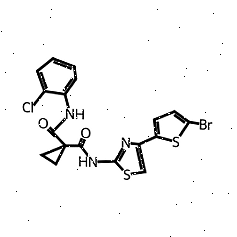 O=C(Nc1nc(-c2ccc(Br)s2)cs1)C1(C(=O)Nc2ccccc2Cl)CC1